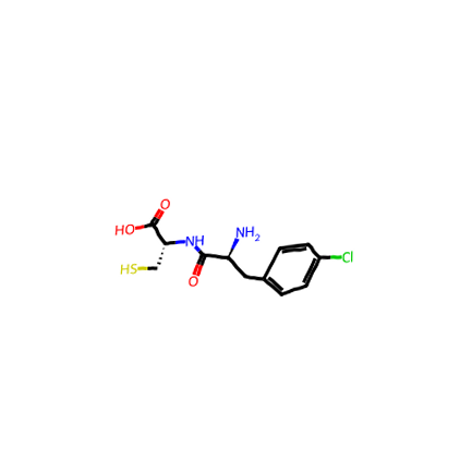 N[C@@H](Cc1ccc(Cl)cc1)C(=O)N[C@H](CS)C(=O)O